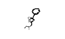 CCC(C)Cc1cc(-c2ccccc2)on1